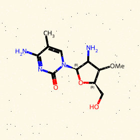 COC1C(N)[C@H](n2cc(C)c(N)nc2=O)O[C@@H]1CO